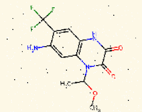 COC(C)n1c(=O)c(=O)[nH]c2cc(C(F)(F)F)c(N)cc21